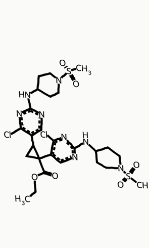 CCOC(=O)C1(c2cnc(NC3CCN(S(C)(=O)=O)CC3)nc2Cl)CC1c1cnc(NC2CCN(S(C)(=O)=O)CC2)nc1Cl